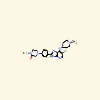 CN1CCC(Nc2c(Cl)cnc3[nH]c(-c4ccc(N5CCN(C)C(=O)C5)cc4)nc23)CC1